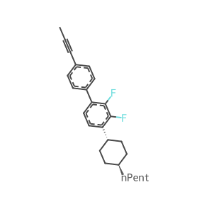 CC#Cc1ccc(-c2ccc([C@H]3CC[C@H](CCCCC)CC3)c(F)c2F)cc1